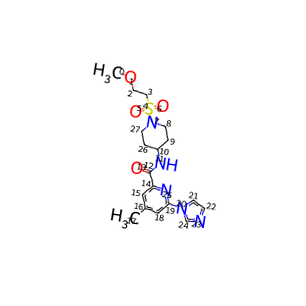 COCCS(=O)(=O)N1CCC(NC(=O)c2cc(C)cc(-n3ccnc3)n2)CC1